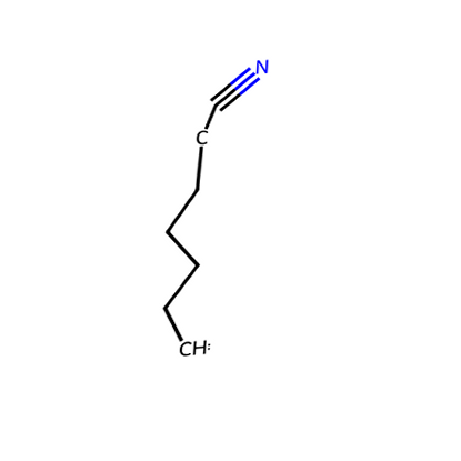 [CH]CCCCCC#N